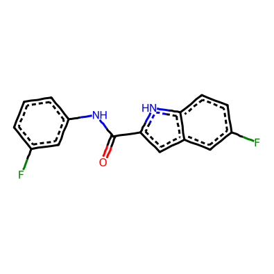 O=C(Nc1cccc(F)c1)c1cc2cc(F)ccc2[nH]1